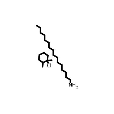 CC1CCCCC1(C)Cl.CCCCCCCCCCCCCCCCN